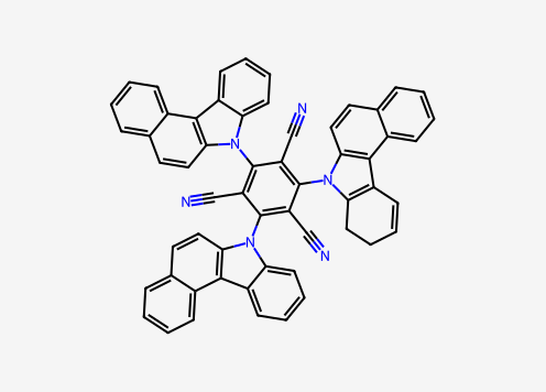 N#Cc1c(-n2c3c(c4c5ccccc5ccc42)C=CCC3)c(C#N)c(-n2c3ccccc3c3c4ccccc4ccc32)c(C#N)c1-n1c2ccccc2c2c3ccccc3ccc21